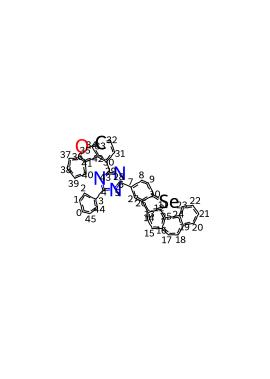 c1ccc(-c2nc(-c3ccc4[se]c5c(ccc6ccc7ccccc7c65)c4c3)nc(-c3cccc4oc5ccccc5c34)n2)cc1